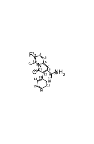 Cc1c(F)ccc2cc(C(C)N)c(-c3ccccc3)c(=O)n12